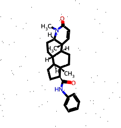 CN1C(=O)C=C[C@]2(C)[C@H]3CC[C@]4(C)[C@@H](C(=O)Nc5ccccc5)CC[C@H]4[C@@H]3CC[C@@H]12